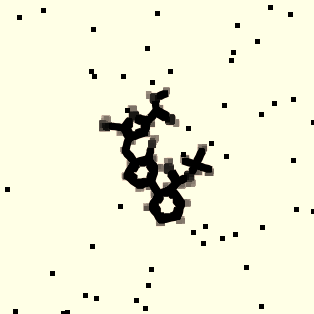 COC(=O)c1cc(Cc2ccc(-c3ccccc3C(=O)OC(C)(C)C)cc2F)c(Br)o1